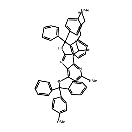 CNc1nc(NC(c2ccccc2)(c2ccccc2)c2ccc(OC)cc2)c2nc(NC(c3ccccc3)(c3ccccc3)c3ccc(OC)cc3)n(C(O)OCCCO)c2n1